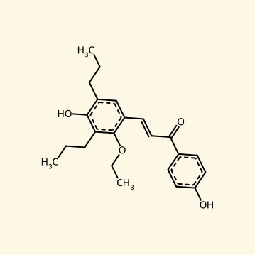 CCCc1cc(C=CC(=O)c2ccc(O)cc2)c(OCC)c(CCC)c1O